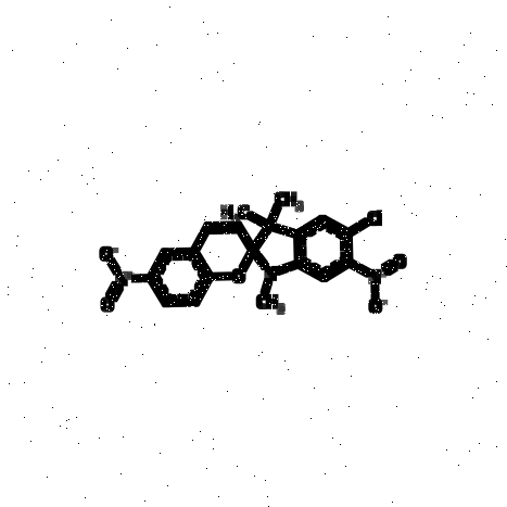 CN1c2cc([N+](=O)[O-])c(Cl)cc2C(C)(C)C12C=Cc1cc([N+](=O)[O-])ccc1O2